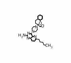 CCCCCc1ccc2nc(N)nc(N3CCN(C4(C=O)CCc5ccccc5O4)CC3)c2n1